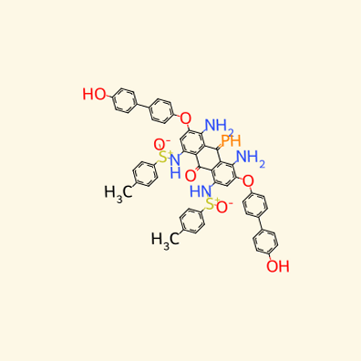 Cc1ccc([S+]([O-])Nc2cc(Oc3ccc(-c4ccc(O)cc4)cc3)c(N)c3c2C(=O)c2c(N[S+]([O-])c4ccc(C)cc4)cc(Oc4ccc(-c5ccc(O)cc5)cc4)c(N)c2C3=P)cc1